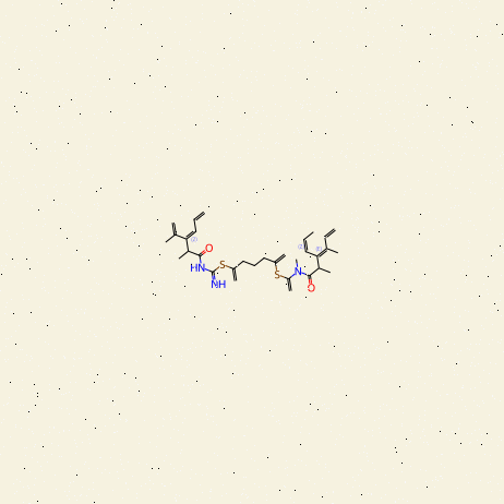 C=C/C=C(\C(=C)C)C(C)C(=O)NC(=N)SC(=C)CCCC(=C)SC(=C)N(C)C(=O)C(C)C(/C=C\C)=C(\C)C=C